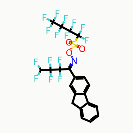 O=S(=O)(O/N=C(/c1ccc2c(c1)Cc1ccccc1-2)C(F)(F)C(F)(F)C(F)F)C(F)(F)C(F)(F)C(F)(F)C(F)(F)F